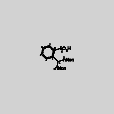 CCCCCCCCCC(CCCCCCCCC)c1ccccc1S(=O)(=O)O